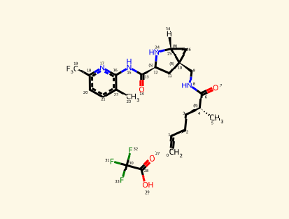 C=CCC[C@@H](C)C(=O)NC[C@@]12C[C@@H](C(=O)Nc3nc(C(F)(F)F)ccc3C)N[C@@H]1C2.O=C(O)C(F)(F)F